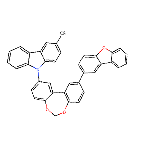 N#Cc1ccc2c(c1)c1ccccc1n2-c1ccc2c(c1)-c1cc(-c3ccc4oc5ccccc5c4c3)ccc1OCO2